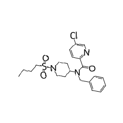 CCCCS(=O)(=O)N1CCC(N(Cc2ccccc2)C(=O)c2ccc(Cl)cn2)CC1